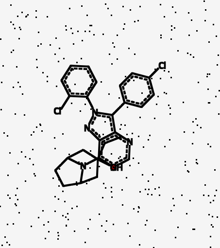 CCC1(O)CC2CCC(C1)N2c1ncnc2c(-c3ccc(Cl)cc3)n(-c3ccccc3Cl)nc12